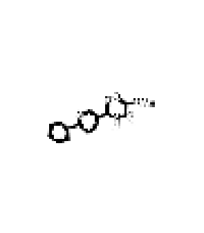 COC(=O)[C@H](C)NC(=O)c1ccc(-c2ccccc2)nc1